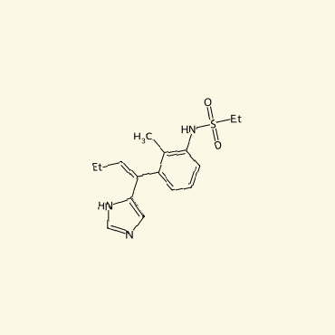 CC/C=C(\c1cnc[nH]1)c1cccc(NS(=O)(=O)CC)c1C